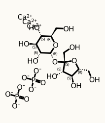 O=P([O-])([O-])[O-].O=P([O-])([O-])[O-].OC[C@H]1O[C@@](CO)(O[C@H]2O[C@H](CO)[C@@H](O)[C@H](O)[C@H]2O)[C@@H](O)[C@@H]1O.[Ca+2].[Ca+2].[Ca+2]